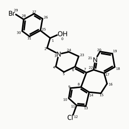 OC(CN1CCC(=C2c3ccc(Cl)cc3CCc3cccnc32)CC1)c1ccc(Br)cc1